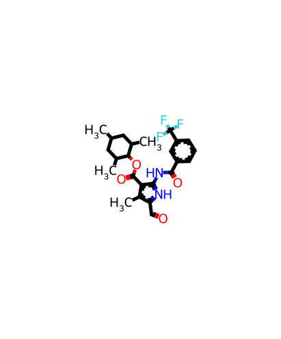 Cc1c(C=O)[nH]c(NC(=O)c2cccc(C(F)(F)F)c2)c1C(=O)OC1C(C)CC(C)CC1C